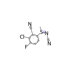 C/S(=N/C#N)c1ccc(F)c(Cl)c1C#N